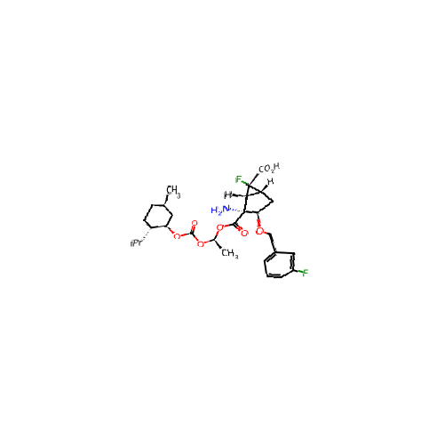 CC(C)[C@@H]1CC[C@@H](C)C[C@H]1OC(=O)O[C@H](C)OC(=O)[C@@]1(N)[C@H]2[C@@H](C[C@H]1OCc1cccc(F)c1)[C@]2(F)C(=O)O